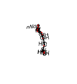 CCCCCCCCC[C@@H](C)C1CC[C@H]2[C@H]3CC=C4C[C@@H](NC(=O)CCNC(=O)CCCCCNC(=O)CCCC[C@@H]5SC[C@@H]6NC(=O)N[C@@H]65)CCC4(C)C3CCC12C